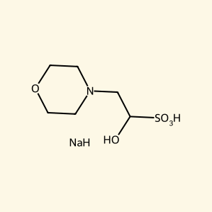 O=S(=O)(O)C(O)CN1CCOCC1.[NaH]